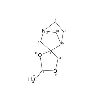 CC1OCC2(CN3CCC2C3)O1